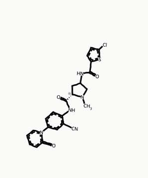 CN1CC(NC(=O)c2ccc(Cl)s2)C[C@H]1C(=O)Nc1ccc(-n2ccccc2=O)cc1C#N